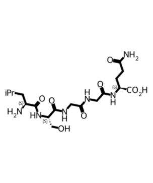 CC(C)C[C@H](N)C(=O)N[C@@H](CO)C(=O)NCC(=O)NCC(=O)N[C@@H](CCC(N)=O)C(=O)O